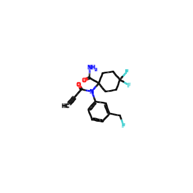 C#CC(=O)N(c1cccc(CF)c1)C1(C(N)=O)CCC(F)(F)CC1